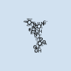 [C-]#[N+]c1ccc2c(C(O)(CN3CCC(Oc4ccc(CC(=O)O)cc4OC)CC3)C(F)(F)F)cn(Cc3ccc(C)cc3)c2c1